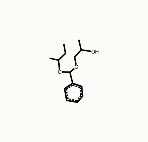 CCC(C)OC(OCC(C)O)c1ccccc1